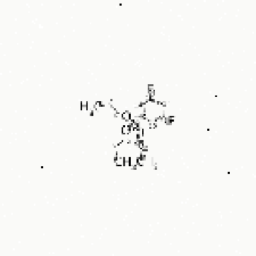 CCCO[Si](OCCC)(OCCC)c1cc(F)cc(F)c1